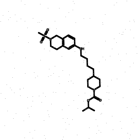 CC(C)OC(=O)N1CCC(CCCCNc2ccc3c(c2)CCN(S(C)(=O)=O)C3)CC1